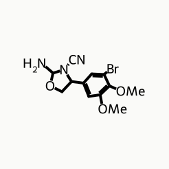 COc1cc(C2COC(N)N2C#N)cc(Br)c1OC